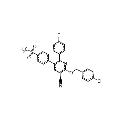 CS(=O)(=O)c1ccc(-c2cc(C#N)c(OCc3ccc(Cl)cc3)nc2-c2ccc(F)cc2)cc1